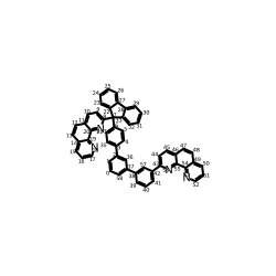 c1cc(-c2ccc(C3(c4ccc5ccc6cccnc6c5n4)c4ccccc4-c4ccccc43)cc2)cc(-c2cccc(-c3ccc4ccc5cccnc5c4n3)c2)c1